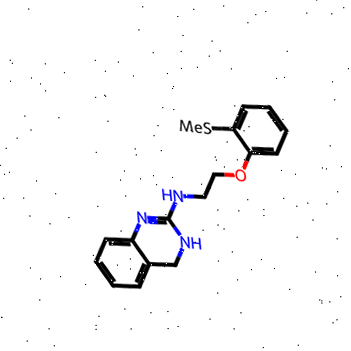 CSc1ccccc1OCCNC1=Nc2ccccc2CN1